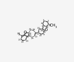 Cc1cccc2c1oc1ccc(C3=CCc4c(oc5c(I)cccc45)CC3)cc12